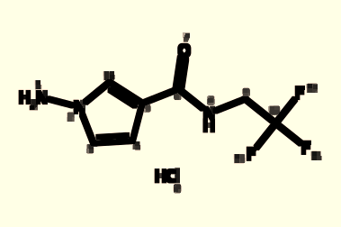 Cl.Nn1ccc(C(=O)NCC(F)(F)F)c1